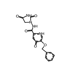 O=C1CN(NC(=O)c2cc(=O)c(OCc3ccccc3)c[nH]2)C(=O)N1